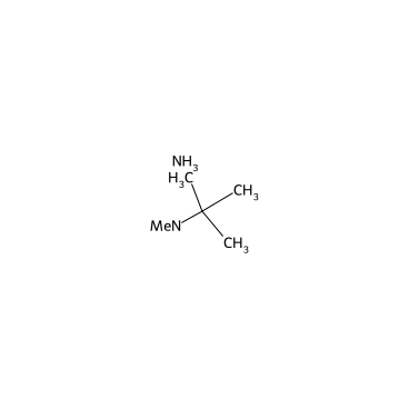 CNC(C)(C)C.N